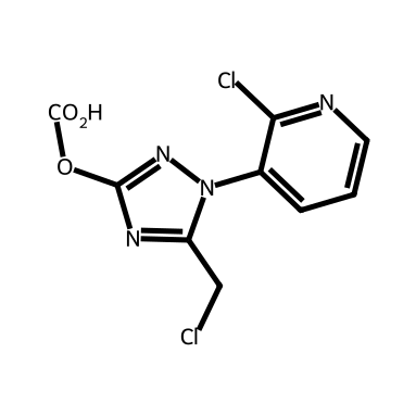 O=C(O)Oc1nc(CCl)n(-c2cccnc2Cl)n1